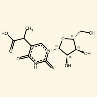 CC(C(=O)O)c1cn([C@@H]2O[C@H](CO)[C@@H](O)[C@H]2O)c(=S)[nH]c1=O